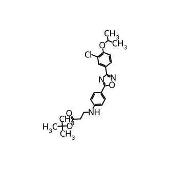 CC(C)Oc1ccc(-c2noc(-c3ccc(NCCC(=O)OC(C)(C)C)cc3)n2)cc1Cl